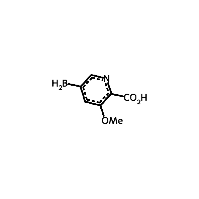 Bc1cnc(C(=O)O)c(OC)c1